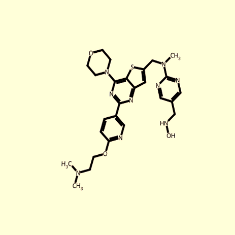 CN(C)CCOc1ccc(-c2nc(N3CCOCC3)c3sc(CN(C)c4ncc(CNO)cn4)cc3n2)cn1